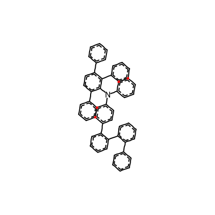 c1ccc(-c2ccccc2-c2ccccc2-c2ccc(N(c3ccccc3)c3c(-c4ccccc4)ccc(-c4ccccc4)c3-c3ccccc3)cc2)cc1